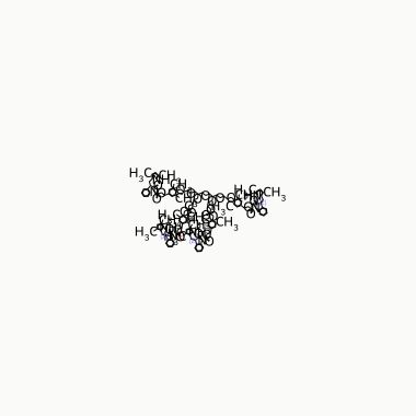 Cc1cc(C)c(/C=C2\C(=O)N(C(=O)OCc3cc(C)c(OCCOCC(COCC(COCCOc4c(C)cc(COC(=O)N5C(=O)C(Cc6[nH]c(C)cc6C)c6ccccc65)cc4C)OCCOC(=O)Oc4c(C)cc(COC(=O)N5C(=O)/C(=C\c6[nH]c(C)cc6C)c6ccccc65)cc4C)OCCOC(=O)Oc4c(C)cc(COC(=O)N5C(=O)/C(=C\c6[nH]c(C)cc6C)c6ccccc65)cc4C)c(C)c3)c3ccccc32)[nH]1